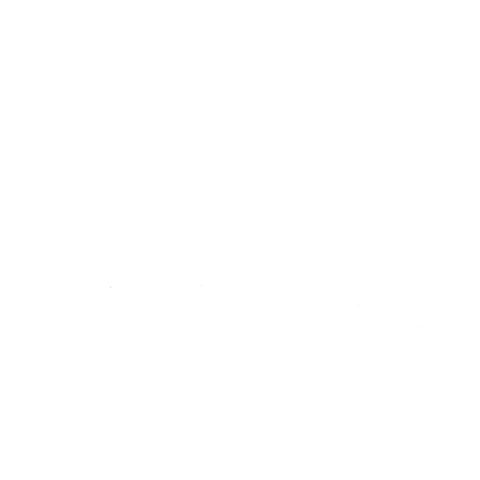 C=CC(=O)OCc1ccc(C(=O)c2cc(OC(=O)C=C)ccc2OC(=O)C=C)cc1